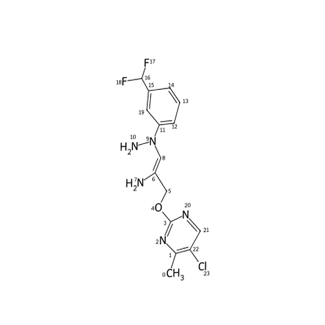 Cc1nc(OC/C(N)=C/N(N)c2cccc(C(F)F)c2)ncc1Cl